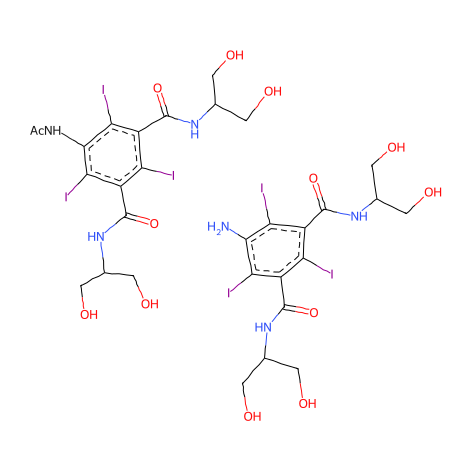 CC(=O)Nc1c(I)c(C(=O)NC(CO)CO)c(I)c(C(=O)NC(CO)CO)c1I.Nc1c(I)c(C(=O)NC(CO)CO)c(I)c(C(=O)NC(CO)CO)c1I